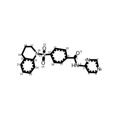 O=C(Nc1ccncn1)c1ccc(S(=O)(=O)N2CCCc3ccccc32)cc1